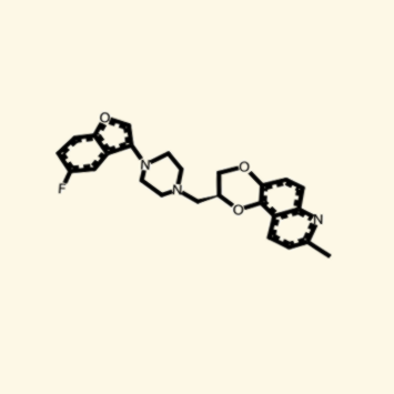 Cc1ccc2c3c(ccc2n1)OC[C@H](CN1CCN(c2coc4ccc(F)cc24)CC1)O3